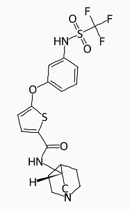 O=C(N[C@H]1CN2CCC1CC2)c1ccc(Oc2cccc(NS(=O)(=O)C(F)(F)F)c2)s1